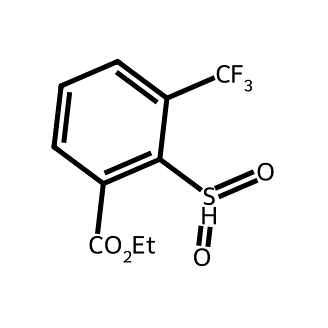 CCOC(=O)c1cccc(C(F)(F)F)c1[SH](=O)=O